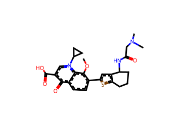 COc1c(-c2cc3c(s2)CCCC3NC(=O)CN(C)C)ccc2c(=O)c(C(=O)O)cn(C3CC3)c12